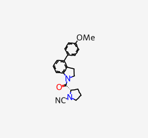 COc1ccc(-c2cccc3c2CCN3C(=O)[C@@H]2CCCN2C#N)cc1